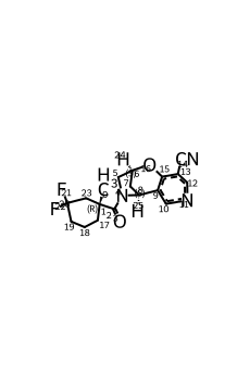 C[C@@]1(C(=O)N2C[C@@H]3C[C@H]2c2cncc(C#N)c2O3)CCCC(F)(F)C1